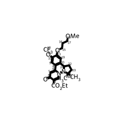 CCOC(=O)c1cn2c(cc1=O)-c1cc(OC(F)(F)F)c(OCCCOC)cc1C1CCC(C)(C)N12